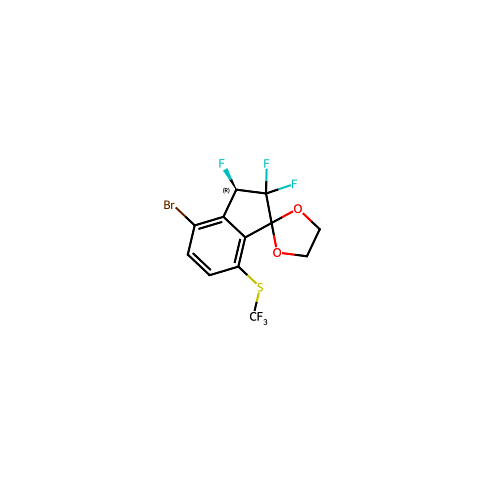 F[C@@H]1c2c(Br)ccc(SC(F)(F)F)c2C2(OCCO2)C1(F)F